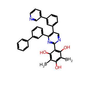 Bc1c(O)c(B)c(O)c(-c2ncc(-c3cccc(-c4cccnc4)c3)c(-c3cccc(-c4ccccc4)c3)n2)c1O